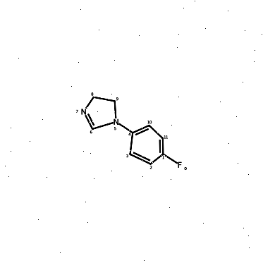 Fc1ccc(N2C=NCC2)cc1